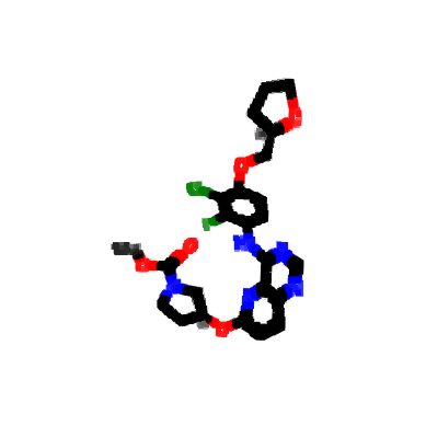 CC(C)(C)OC(=O)N1CC[C@H](Oc2ccc3ncnc(Nc4ccc(OC[C@H]5CCCO5)c(Cl)c4F)c3n2)C1